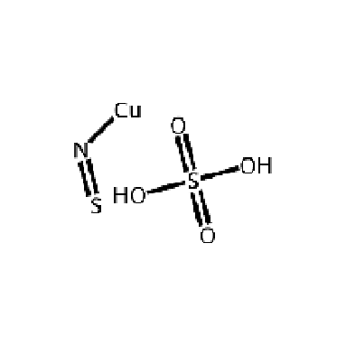 O=S(=O)(O)O.S=[N][Cu]